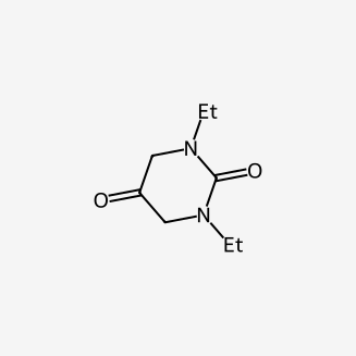 CCN1CC(=O)CN(CC)C1=O